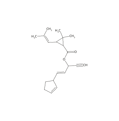 C#CC(C=CC1C=CCC1)OC(=O)C1C(C=C(C)C)C1(C)C